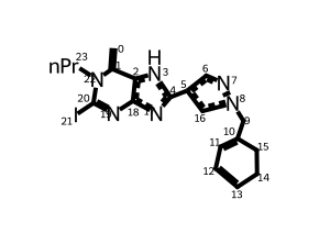 C=C1c2[nH]c(-c3cnn(CC4=CC=CCC4)c3)nc2N=C(I)N1CCC